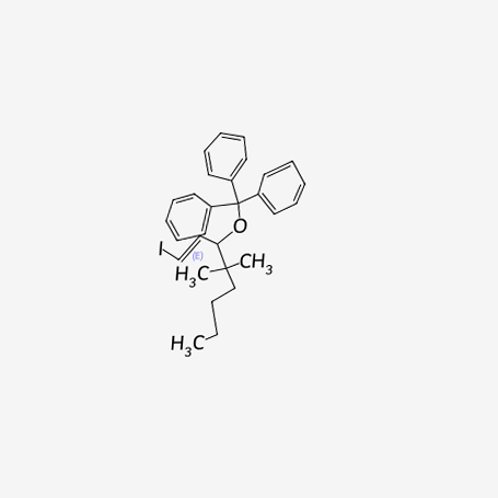 CCCCC(C)(C)C(/C=C/I)OC(c1ccccc1)(c1ccccc1)c1ccccc1